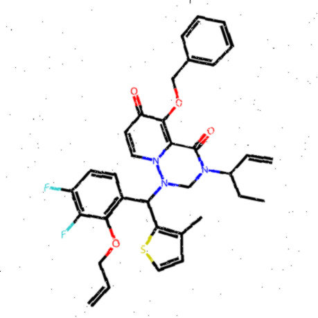 C=CCOc1c(C(c2sccc2C)N2CN(C(C=C)CC)C(=O)c3c(OCc4ccccc4)c(=O)ccn32)ccc(F)c1F